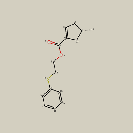 C[C@H]1CC=C(C(=O)OCCSc2ccccc2)C1